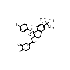 CN1CCN(C(=O)CC2CCc3cc(C(O)(C(F)(F)F)C(F)(F)F)ccc3N2S(=O)(=O)c2ccc(F)cc2)CC1=O